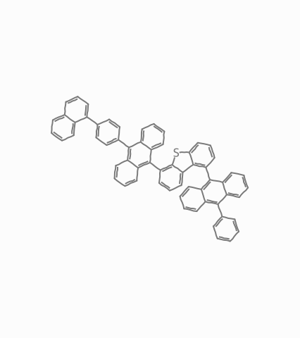 c1ccc(-c2c3ccccc3c(-c3cccc4sc5c(-c6c7ccccc7c(-c7ccc(-c8cccc9ccccc89)cc7)c7ccccc67)cccc5c34)c3ccccc23)cc1